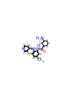 NC1CCCC(C(=O)Nc2cc(C(F)(F)F)cc3c2Nc2ccncc2S3)C1